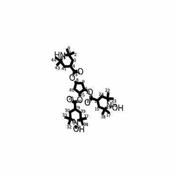 CC1(C)CC(C(=O)OC2CC(OC(=O)C3CC(C)(C)N(O)C(C)(C)C3)C(OC(=O)C3CC(C)(C)N(O)C(C)(C)C3)C2)CC(C)(C)N1